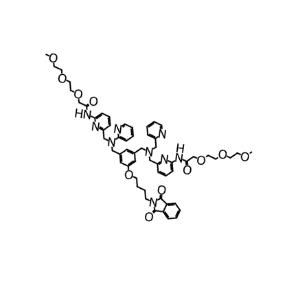 COCCOCCOCC(=O)Nc1cccc(CN(Cc2cc(CN(Cc3cccc(NC(=O)COCCOCCOC)n3)c3ccccn3)cc(OCCCCN3C(=O)c4ccccc4C3=O)c2)Cc2ccccn2)n1